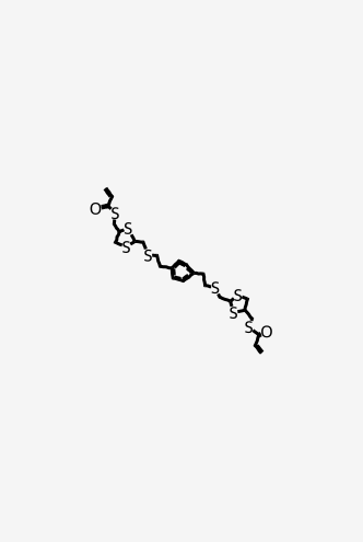 C=CC(=O)SCC1CSC(CSCCc2ccc(CCSCC3SCC(CSC(=O)C=C)S3)cc2)S1